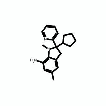 Cc1cc(N)c2c(c1)CC(c1ccccn1)(C1CCCC1)N2C